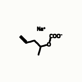 C=CCC(C)OC(=O)[O-].[Na+]